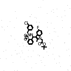 Cc1c(C2=NN(Cc3cccc(Cl)c3)S(=O)(=O)c3ccccc32)c2cc(F)ccc2n1CC(=O)OC(C)(C)C